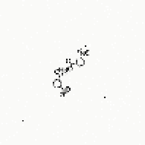 O=C(OBOC(=O)c1cccc([N+](=O)[O-])c1)c1cccc([N+](=O)[O-])c1